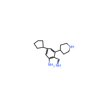 N=Cc1c(N)cc(C2CCCC2)cc1C1CCNCC1